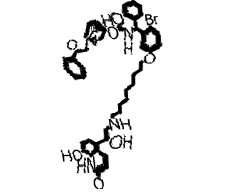 O=C(NC(c1ccccc1)c1cc(OCCCCCCCCCNCC(O)c2ccc(O)c3[nH]c(=O)ccc23)ccc1Br)O[C@H]1C[N+]2(CC(=O)c3ccccc3)CCC1CC2